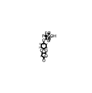 O=C1CC2OC3(CCC(OC(=O)C(F)(F)S(=O)(=O)O)CC3)OC2O1